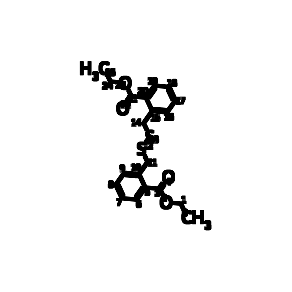 CCOC(=O)c1ccccc1CSSCc1ccccc1C(=O)OCC